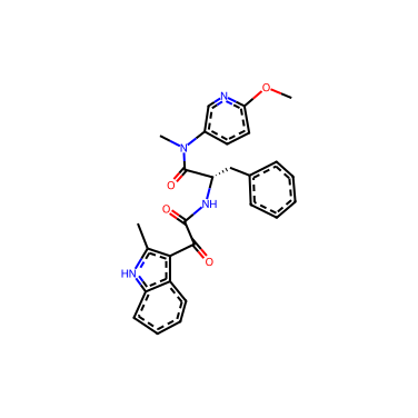 COc1ccc(N(C)C(=O)[C@H](Cc2ccccc2)NC(=O)C(=O)c2c(C)[nH]c3ccccc23)cn1